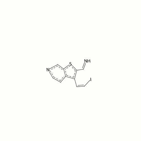 N=Cc1sc2cnccc2c1/C=C\I